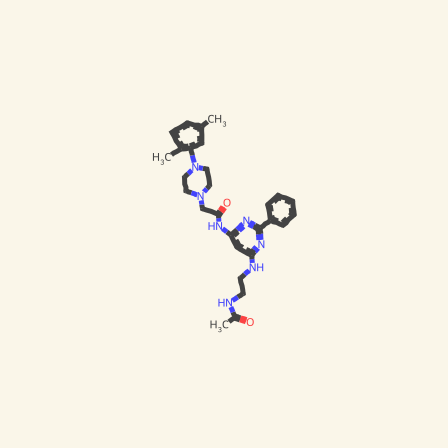 CC(=O)NCCNc1cc(NC(=O)CN2CCN(c3cc(C)ccc3C)CC2)nc(-c2ccccc2)n1